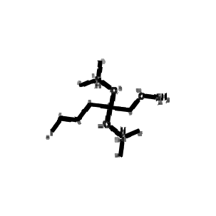 C[SiH](C)OC(CCCI)(CO[SiH3])O[SiH](C)C